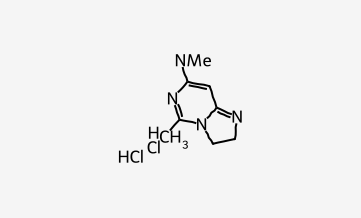 CNC1=CC2=NCCN2C(C)=N1.Cl.Cl